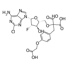 Nc1nc(Cl)nc2c1ncn2[C@@H]1O[C@H](COC(Cc2ccc(OCC(=O)O)cc2)(C(=O)O)C(=O)O)[C@@H](O)[C@@H]1F